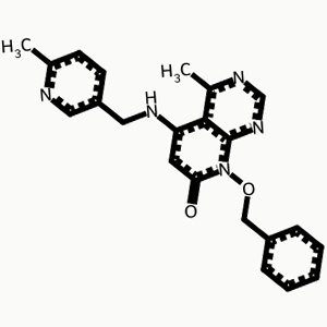 Cc1ccc(CNc2cc(=O)n(OCc3ccccc3)c3ncnc(C)c23)cn1